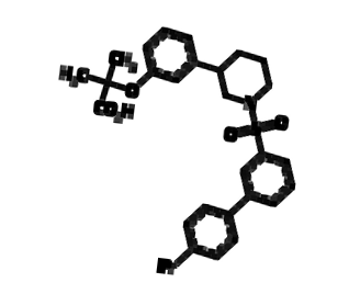 CC(C)c1ccc(-c2cccc(S(=O)(=O)N3CCCC(c4cccc(OC(C)(C)C(=O)O)c4)C3)c2)cc1